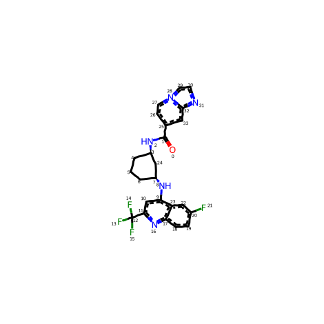 O=C(N[C@@H]1CCC[C@H](Nc2cc(C(F)(F)F)nc3ccc(F)cc23)C1)c1ccn2ccnc2c1